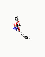 C=CCCCCCCO[C@@H]1OC2COC(c3ccccc3)O[C@H]2C(O)[C@@H]1N=[N+]=[N-]